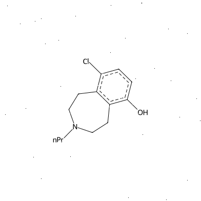 CCCN1CCc2c(O)ccc(Cl)c2CC1